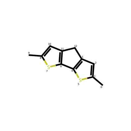 Cc1cc2c(s1)-c1sc(C)cc1C2